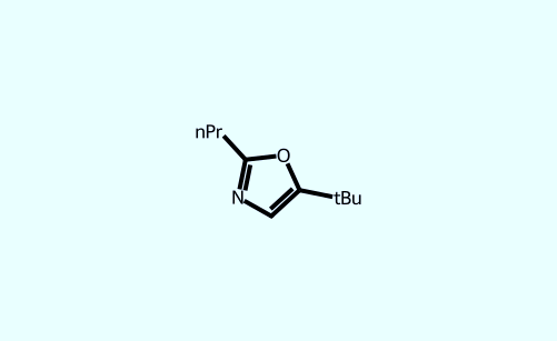 CCCc1ncc(C(C)(C)C)o1